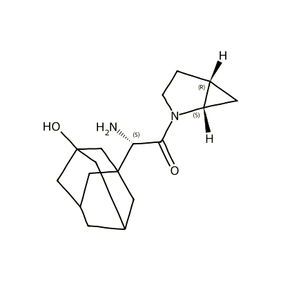 N[C@H](C(=O)N1CC[C@@H]2C[C@@H]21)C12CC3CC(CC(O)(C3)C1)C2